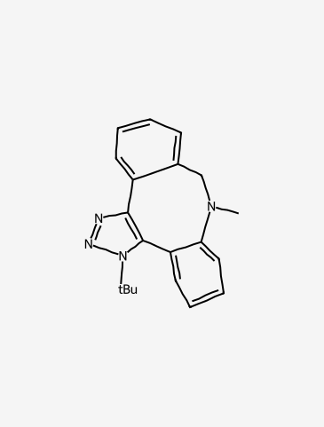 CN1Cc2ccccc2-c2nnn(C(C)(C)C)c2-c2ccccc21